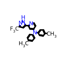 Cc1ccc(N(c2ccc(C)cc2)c2ccnc(-c3cc(C(F)(F)F)n[nH]3)c2)cc1